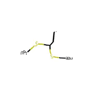 [CH2]C(SCCC)SC(C)CC